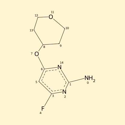 Nc1nc(F)cc(OC2CCOCC2)n1